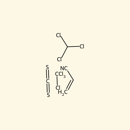 C=CC#N.ClC(Cl)(Cl)Cl.ClC(Cl)Cl.S=C=S